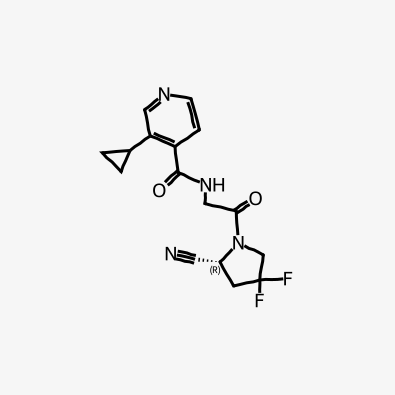 N#C[C@H]1CC(F)(F)CN1C(=O)CNC(=O)c1ccncc1C1CC1